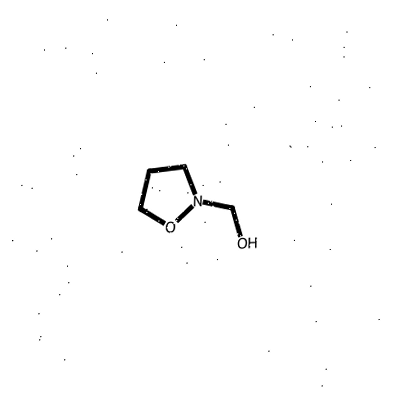 OCN1CCCO1